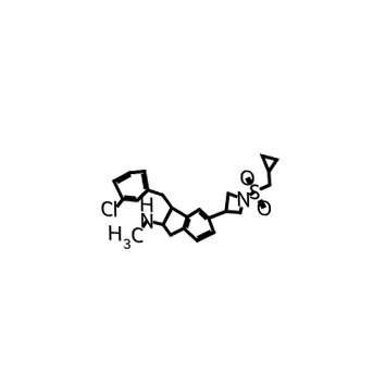 CNC1Cc2ccc(C3CN(S(=O)(=O)CC4CC4)C3)cc2C1Cc1cccc(Cl)c1